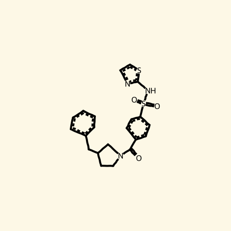 O=C(c1ccc(S(=O)(=O)Nc2nccs2)cc1)N1CCC(Cc2ccccc2)C1